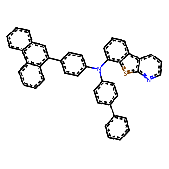 c1ccc(-c2ccc(N(c3ccc(-c4cc5ccccc5c5ccccc45)cc3)c3cccc4c3sc3ncccc34)cc2)cc1